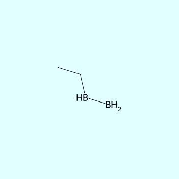 BBCC